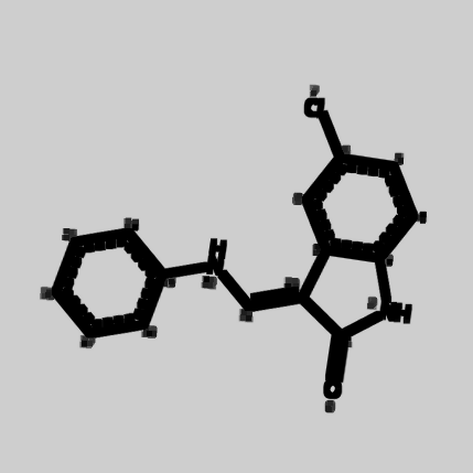 O=C1Nc2ccc(Cl)cc2/C1=C\Nc1ccccc1